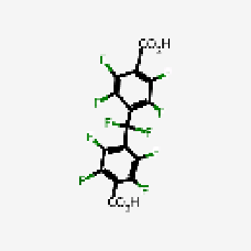 O=C(O)c1c(F)c(F)c(C(F)(F)c2c(F)c(F)c(C(=O)O)c(F)c2F)c(F)c1F